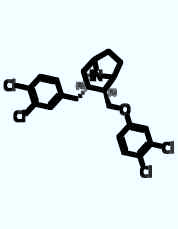 Clc1ccc(C[C@@H]2CC3CCC(N3)[C@H]2COc2ccc(Cl)c(Cl)c2)cc1Cl